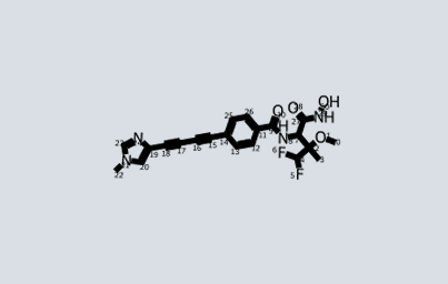 COC(C)(C(F)F)C(NC(=O)c1ccc(C#CC#Cc2cn(C)cn2)cc1)C(=O)NO